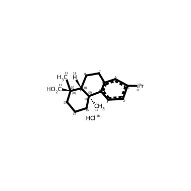 CC(C)c1ccc2c(c1)CC[C@H]1[C@](C)(C(=O)O)CCC[C@]21C.Cl